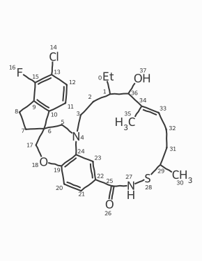 CCC1CCN2CC3(CCc4c3ccc(Cl)c4F)COc3ccc(cc32)C(=O)NSC(C)CC/C=C(\C)C1O